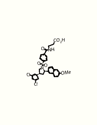 COc1ccc2cc([C@H]3C[C@@H](c4cc(Cl)cc(Cl)c4)CN3S(=O)(=O)c3ccc(C(=O)NCCC(=O)O)cc3)ccc2c1